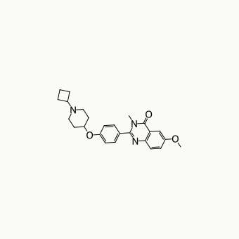 COc1ccc2nc(-c3ccc(OC4CCN(C5CCC5)CC4)cc3)n(C)c(=O)c2c1